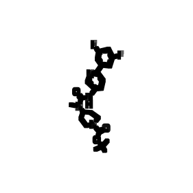 CN(C(=O)Nc1ccc(-c2cc(F)cc(F)c2)nc1)C1CCN(C(=O)OC(C)(C)C)CC1